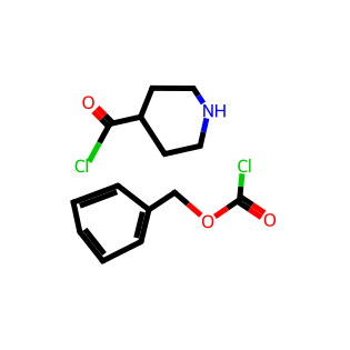 O=C(Cl)C1CCNCC1.O=C(Cl)OCc1ccccc1